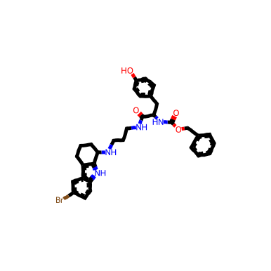 O=C(NC(Cc1ccc(O)cc1)C(=O)NCCCNC1CCCc2c1[nH]c1ccc(Br)cc21)OCc1ccccc1